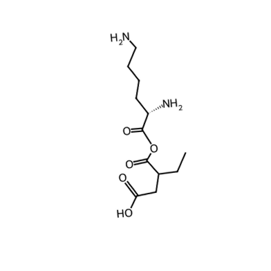 CCC(CC(=O)O)C(=O)OC(=O)[C@@H](N)CCCCN